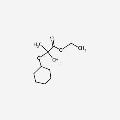 CCOC(=O)C(C)(C)OC1CCCCC1